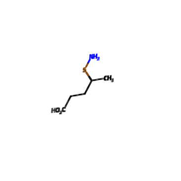 CC(CCC(=O)O)SN